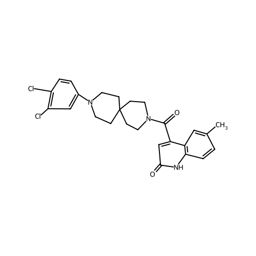 Cc1ccc2[nH]c(=O)cc(C(=O)N3CCC4(CC3)CCN(c3ccc(Cl)c(Cl)c3)CC4)c2c1